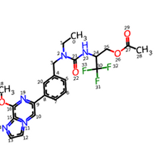 CCN(Cc1cccc(-c2cn3ccnc3c(OC)n2)c1)C(=O)NC(COC(C)=O)C(F)(F)F